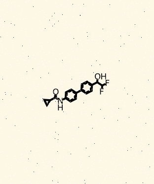 O=C(Nc1ccc(-c2ccc(C(O)C(F)F)cc2)cc1)C1CC1